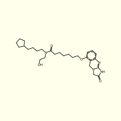 O=C1CN2Cc3c(cccc3OCCCCCCC(=O)N(CCO)CCCCC3CCCC3)N=C2N1